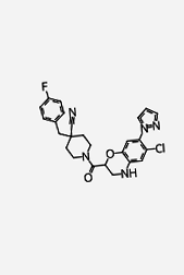 N#CC1(Cc2ccc(F)cc2)CCN(C(=O)C2CNc3cc(Cl)c(-n4cccn4)cc3O2)CC1